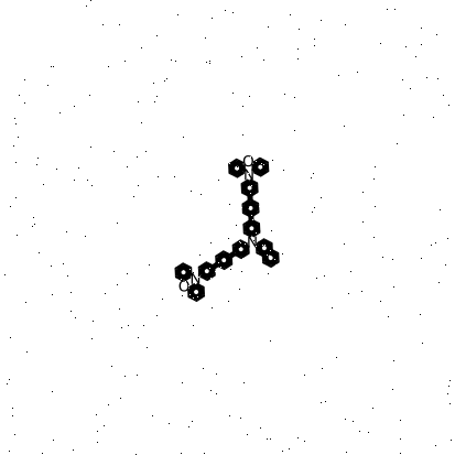 c1ccc2c(c1)Oc1ccccc1N2c1ccc(-c2ccc(-c3ccc(N(c4ccc(-c5ccc(-c6ccc(N7c8ccccc8Oc8ccccc87)cc6)cc5)cc4)c4ccc5ccccc5c4)cc3)cc2)cc1